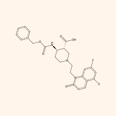 O=C(N[C@@H]1CCN(CCn2c(=O)ccc3c(F)cc(F)cc32)C[C@H]1C(=O)O)OCc1ccccc1